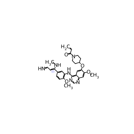 C=CC(=O)N1CCC(Oc2cc3c(Nc4cc(/C(=C/C=N)NC)ccc4OC)ncnc3cc2OC)CC1